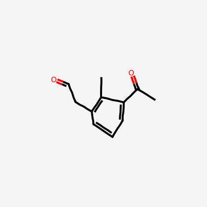 CC(=O)c1cccc(CC=O)c1C